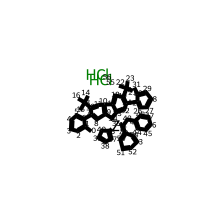 Cc1ccccc1-c1cc2c(cc1C(C)(C)C)-c1cc(C(C)(C)C)c(-c3ccccc3C)cc1[CH]2/[Zr]([C]1=CC=CC1)=[C](\Cc1ccccc1)c1ccccc1.Cl.Cl